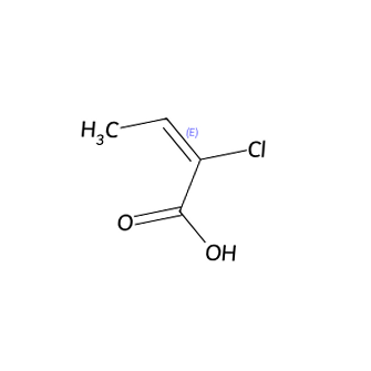 C/C=C(/Cl)C(=O)O